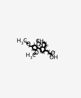 CCOCc1cc(OC)c(-c2ccc(CCC(=O)O)c3cccnc23)c(OC)c1